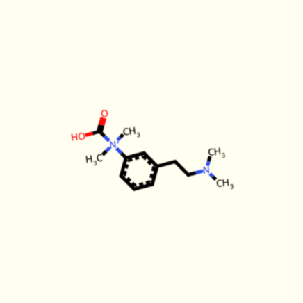 CN(C)CCc1cccc([N+](C)(C)C(=O)O)c1